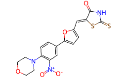 O=C1NC(=S)S/C1=C\c1ccc(-c2ccc(N3CCOCC3)c([N+](=O)[O-])c2)o1